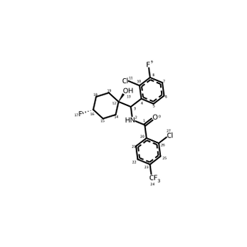 O=C(NC(c1cccc(F)c1Cl)[C@]1(O)CC[C@H](F)CC1)c1ccc(C(F)(F)F)cc1Cl